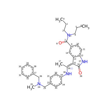 CCCN(CCC)C(=O)c1ccc2c(c1)/C(=C(\C)Nc1ccc(CN(C)Cc3ccccc3)cc1)C(=O)N2